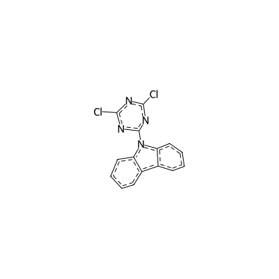 Clc1nc(Cl)nc(-n2c3ccccc3c3ccccc32)n1